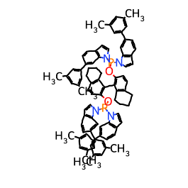 Cc1cc(C)cc(-c2ccc3ccn(P(Oc4ccc5c(c4-c4c(OP(n6ccc7ccc(-c8cc(C)cc(C)c8)cc76)n6ccc7ccc(-c8cc(C)cc(C)c8)cc76)ccc6c4CCCC6)CCCC5)n4ccc5ccc(-c6cc(C)cc(C)c6)cc54)c3c2)c1